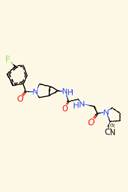 N#C[C@@H]1CCCN1C(=O)CNCC(=O)NC1C2CN(C(=O)c3ccc(F)cc3)CC21